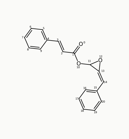 O=C(C=Cc1ccccc1)OC1OC1=Cc1ccccc1